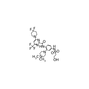 C[Si]1(C)CCN(c2cc(NS(=O)(=O)CCO)ccc2NC(=O)c2nc(N3CCC(F)(F)CC3)cc(C(F)(F)F)n2)CC1